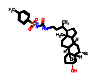 CC[C@H]1C[C@H]2C3CC[C@H]([C@H](C)CCNC(=O)NS(=O)(=O)c4ccc(C(F)(F)F)cc4)[C@@]3(C)CC[C@@H]2[C@@]2(C)CC[C@@H](O)C[C@@H]12